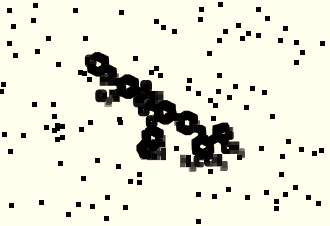 Cc1sccc1C1=C(CN2CCN(c3ccc(C(=O)NS(=O)(=O)c4ccc(NCC5CCOCC5)c([N+](=O)[O-])c4)c(Oc4cnc5[nH]ccc5c4)c3)CC2)CCC(C)(C)C1